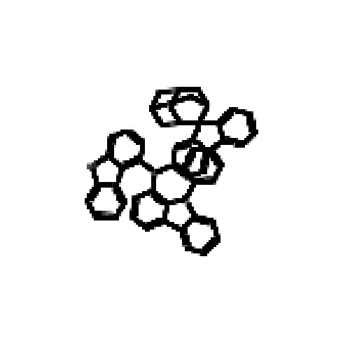 c1ccc(-n2c3ccccc3c3cccc(N(c4ccc5c(c4)C4(c6ccccc6-5)C5CC6CC(C5)CC4C6)c4cccc5oc6ccccc6c45)c32)cc1